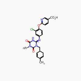 CCCn1c(=O)[nH]/c(=N\c2ccc(Oc3ccc(C(=O)O)cn3)c(Cl)c2)n(CC2C=CC(C)=CC2)c1=O